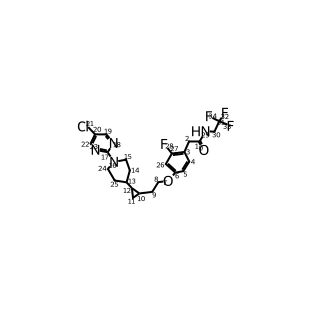 O=C(Cc1ccc(OCCC2CC2C2CCN(c3ncc(Cl)cn3)CC2)cc1F)NCC(F)(F)F